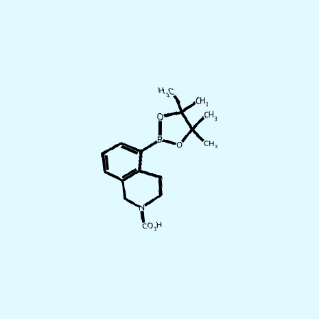 CC1(C)OB(c2cccc3c2CCN(C(=O)O)C3)OC1(C)C